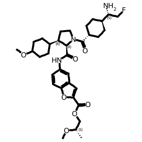 COC1CCC([C@H]2CCN(C(=O)[C@H]3CC[C@H]([C@H](N)CF)CC3)[C@H]2C(=O)Nc2ccc3oc(C(=O)OC[C@H](C)OC)cc3c2)CC1